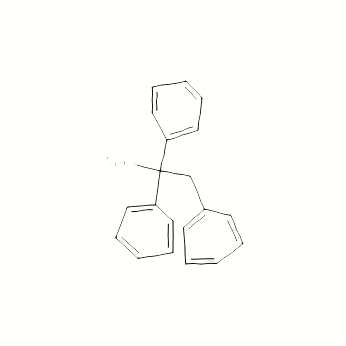 CC(=O)OC(Cc1ccccc1)(c1ccccc1)c1ccccc1